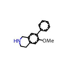 COc1cc2c(cc1-c1ccccc1)CNCC2